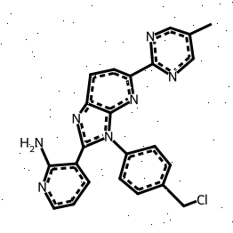 Cc1cnc(-c2ccc3nc(-c4cccnc4N)n(-c4ccc(CCl)cc4)c3n2)nc1